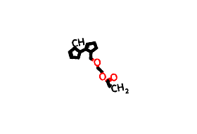 C=CC(=O)OCCOCC1CCCC1C1CC=CC1C